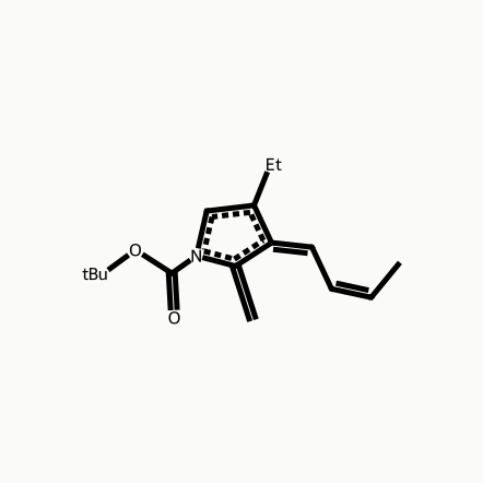 C=c1/c(=C\C=C/C)c(CC)cn1C(=O)OC(C)(C)C